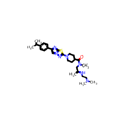 C=C(CN(C)C(=O)C1CCN(c2nn3cc(-c4ccc(C(C)C)cc4)nc3s2)CC1)NCCN(C)C